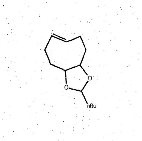 CCCCC1OC2CC/C=C/CCC2O1